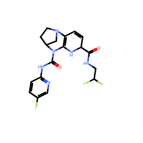 O=C(NCC(F)F)C1C=CC2=C(N1)N(C(=O)Nc1ccc(F)cn1)C1CCN2C1